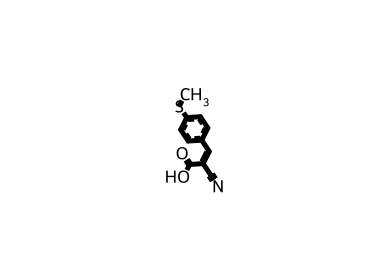 CSc1ccc(C=C(C#N)C(=O)O)cc1